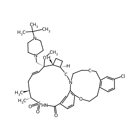 CO[C@]1(CN2CCN(C(C)(C)C)CC2)/C=C/C[C@H](C)[C@@H](C)S(=O)(=O)NC(=O)c2ccc3c(c2)N(CCCCc2cc(Cl)ccc2CCO3)C[C@@H]2CC[C@H]21